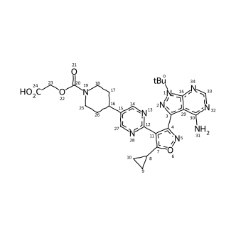 CC(C)(C)n1nc(-c2noc(C3CC3)c2-c2ncc(C3CCN(C(=O)OCC(=O)O)CC3)cn2)c2c(N)ncnc21